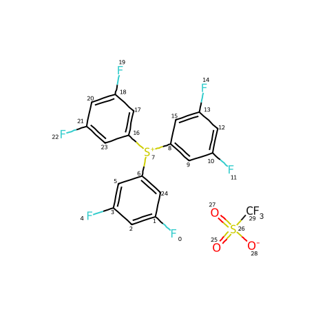 Fc1cc(F)cc([S+](c2cc(F)cc(F)c2)c2cc(F)cc(F)c2)c1.O=S(=O)([O-])C(F)(F)F